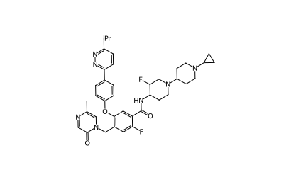 Cc1cn(Cc2cc(F)c(C(=O)NC3CCN(C4CCN(C5CC5)CC4)CC3F)cc2Oc2ccc(-c3ccc(C(C)C)nn3)cc2)c(=O)cn1